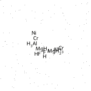 F.F.[AlH3].[AlH3].[Cr].[Cr].[MgH2].[MgH2].[Ni]